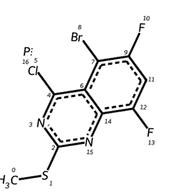 CSc1nc(Cl)c2c(Br)c(F)cc(F)c2n1.[P]